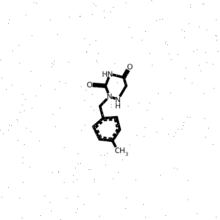 Cc1ccc(CN2NCC(=O)NC2=O)cc1